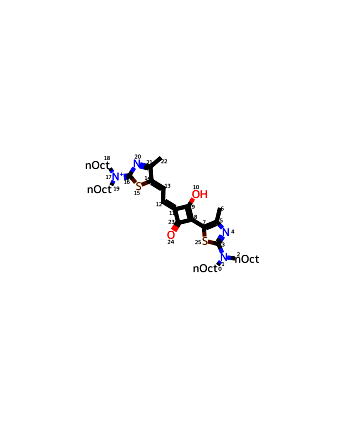 CCCCCCCCN(CCCCCCCC)c1nc(C)c(C2=C(O)/C(=C\C=C3/SC(=[N+](CCCCCCCC)CCCCCCCC)N=C3C)C2=O)s1